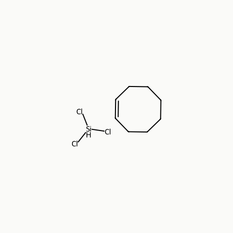 C1=CCCCCCC1.Cl[SiH](Cl)Cl